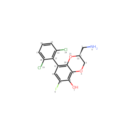 NC[C@H]1COc2c(O)c(F)cc(-c3c(Cl)cccc3Cl)c2O1